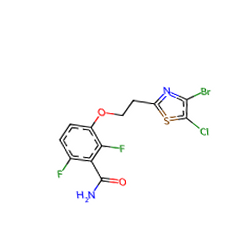 NC(=O)c1c(F)ccc(OCCc2nc(Br)c(Cl)s2)c1F